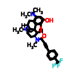 CN(C)c1cc(O)c2c3c1C[C@@H]1[C@@H]4CC[C@@H](N(C)C(=O)C#Cc5ccc(C(F)(F)F)cc5)[C@H](O2)[C@]34CCN1C